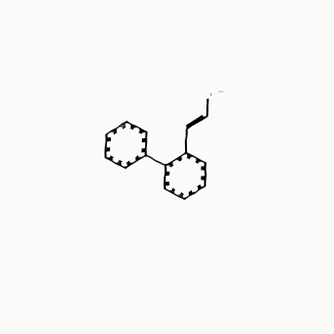 CCCCCC=Cc1ccccc1-c1ccccc1